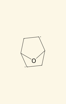 [CH]1CC2[CH]CC1O2